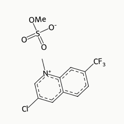 COS(=O)(=O)[O-].C[n+]1cc(Cl)cc2ccc(C(F)(F)F)cc21